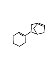 C1=C2CC(C1)C(C1=CCCCC1)C2